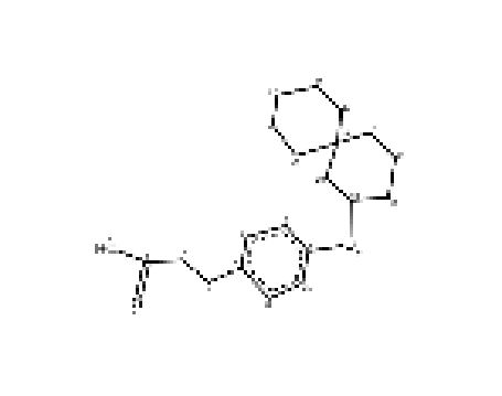 O=C(O)CCc1ccc(OC2CCCC3(CCCCC3)C2)cc1